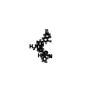 Cc1cc(-c2cnc(N)c(-n3cc(C(=O)NC4(CC#N)CCCC4)cn3)n2)cc2c1CCN(C)C2